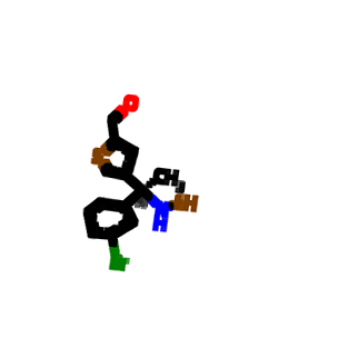 C[C@](NS)(c1cccc(Br)c1)c1csc(C=O)c1